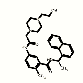 Cc1ccc(NC(=O)CN2CCN(CCO)CC2)cc1C(=O)N[C@H](C)c1cccc2ccccc12